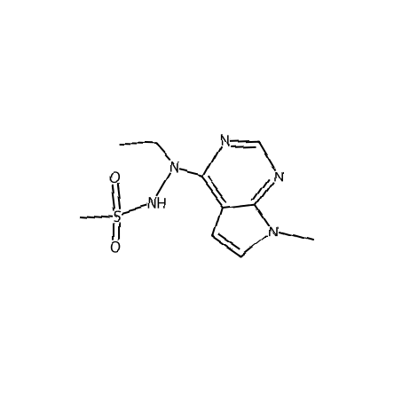 CCN(NS(C)(=O)=O)c1ncnc2c1ccn2C